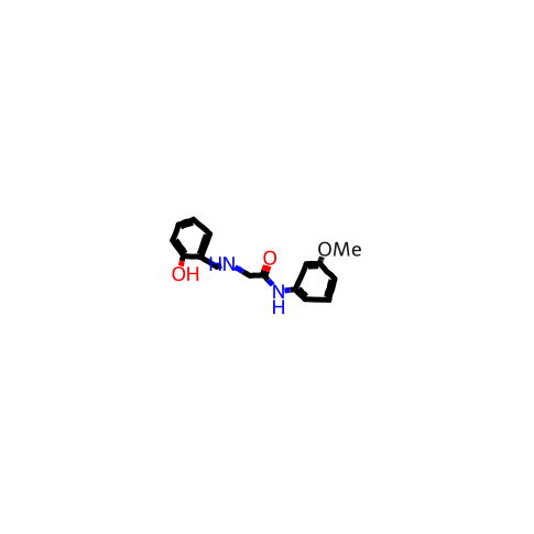 COc1cccc(NC(=O)CNCc2ccccc2O)c1